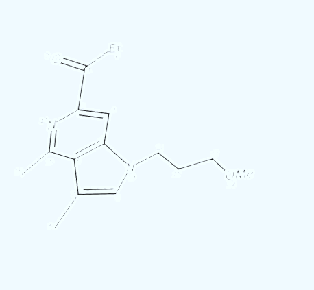 CCC(=O)c1cc2c(c(C)cn2CCCOC)c(C)n1